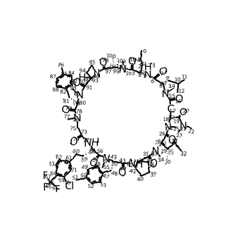 CC[C@H](C)[C@@H]1NC(=O)[C@H](CC(C)C)N(C)C(=O)C[C@@H](C(=O)N(C)C)N(C)C(=O)[C@H]([C@@H](C)CC)N(C)C(=O)C2(CCCC2)NC(=O)[C@H](Cc2ccc(C)cc2)N(C)C(=O)[C@H](CCc2ccc(C(F)(F)F)c(Cl)c2)NC(=O)CN(C)C(=O)[C@H](Cc2ccc(C)cc2)N(C)C(=O)[C@@H]2CCN2C(=O)[C@H](C)N(C)C1=O